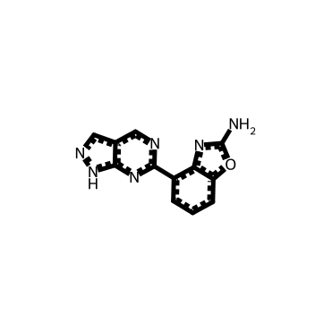 Nc1nc2c(-c3ncc4cn[nH]c4n3)cccc2o1